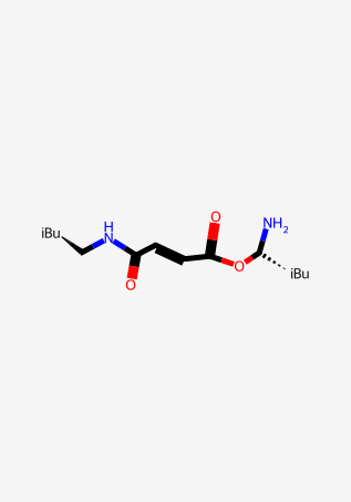 CC[C@H](C)CNC(=O)/C=C/C(=O)OC(N)[C@@H](C)CC